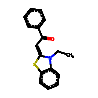 CCN1C(=CC(=O)c2ccccc2)Sc2ccccc21